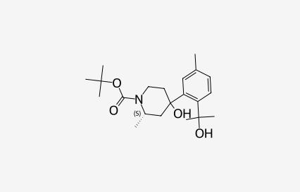 Cc1ccc(C(C)(C)O)c(C2(O)CCN(C(=O)OC(C)(C)C)[C@@H](C)C2)c1